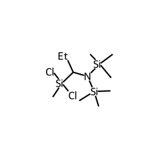 CCC(N([Si](C)(C)C)[Si](C)(C)C)[Si](C)(Cl)Cl